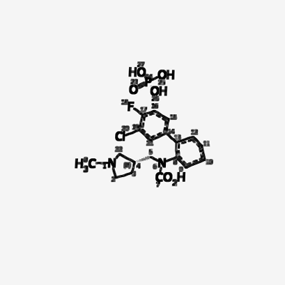 CN1CC[C@@H](CN(C(=O)O)c2ccccc2-c2ccc(F)c(Cl)c2)C1.O=P(O)(O)O